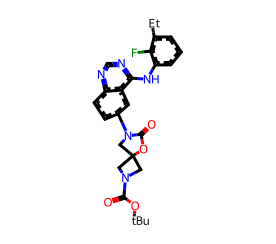 CCc1cccc(Nc2ncnc3ccc(N4CC5(CN(C(=O)OC(C)(C)C)C5)OC4=O)cc23)c1F